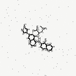 CN(C)C[C@@H](Oc1cc(-c2cnn(C)c2)cc2ncnc(Nc3ccc4ncccc4c3F)c12)C(F)F